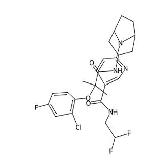 CC(C)(Oc1ccc(F)cc1Cl)C(=O)NC1CC2CCC(C1)N2c1ccc(C(=O)NCC(F)F)cn1